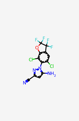 N#Cc1cc(N)n(-c2c(Cl)cc3c(c2Cl)OC(F)(F)C3(F)F)n1